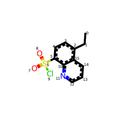 CCc1ccc(S(=O)(=O)Cl)c2ncccc12